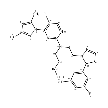 Cc1nc(C(F)(F)F)nn1-c1nc(N(CCNC=O)CCN2N=CCC2c2cc(F)cc(F)c2)ncc1F